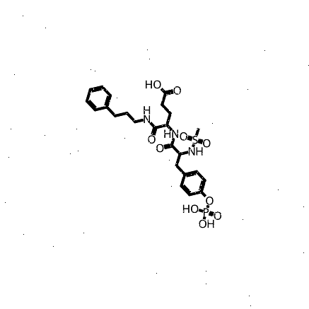 CS(=O)(=O)NC(Cc1ccc(OP(=O)(O)O)cc1)C(=O)NC(CCC(=O)O)C(=O)NCCCc1ccccc1